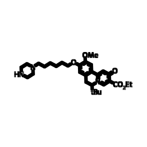 CCOC(=O)c1cn2c(cc1=O)-c1cc(OC)c(OCCCCCCN3CCNCC3)cc1CC2C(C)(C)C